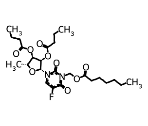 CCCCCCC(=O)OCn1c(=O)c(F)cn([C@@H]2O[C@H](C)[C@@H](OC(=O)CCC)[C@H]2OC(=O)CCC)c1=O